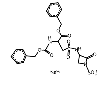 O=C(NC(CS(=O)(=O)NC1CN(S(=O)(=O)O)C1=O)C(=O)OCc1ccccc1)OCc1ccccc1.[NaH]